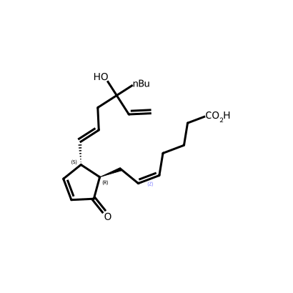 C=CC(O)(CC=C[C@H]1C=CC(=O)[C@@H]1C/C=C\CCCC(=O)O)CCCC